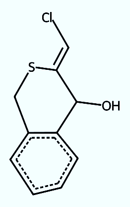 OC1/C(=C/Cl)SCc2ccccc21